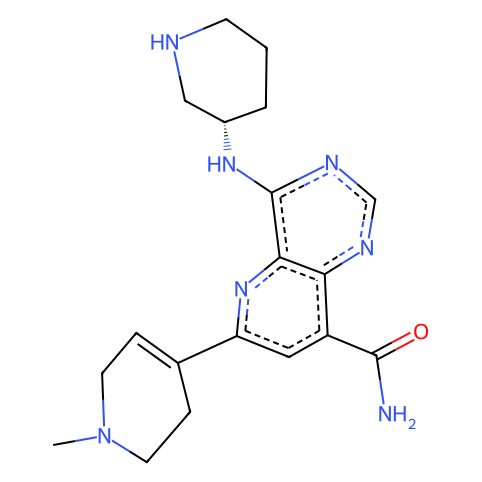 CN1CC=C(c2cc(C(N)=O)c3ncnc(N[C@H]4CCCNC4)c3n2)CC1